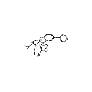 CO[C@H]1CC[C@@]2(Cc3ccc(-c4ccncc4)cc3[C@@]23COC(N)=N3)C[C@@H]1C